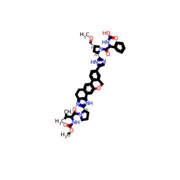 COC[C@H]1C[C@@H](c2ncc(-c3ccc4c(c3)COc3cc5c(cc3-4)CCc3nc([C@@H]4CCCN4C(=O)C(NC(=O)OC)C(C)C)[nH]c3-5)[nH]2)N(C(=O)C(NC(=O)O)c2ccccc2)C1